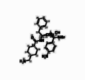 CNC(=O)c1ccc(N)cc1.Cl.NCC1CCC(C(=O)N[C@@H](Cc2ccccc2)C(=O)O)CC1